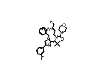 CC(C)(C)[C@H](c1nc(-c2cccc(F)c2)cn1Cc1ccccc1)N(CC[C@H](N)CF)C(=O)N1CCOCC1